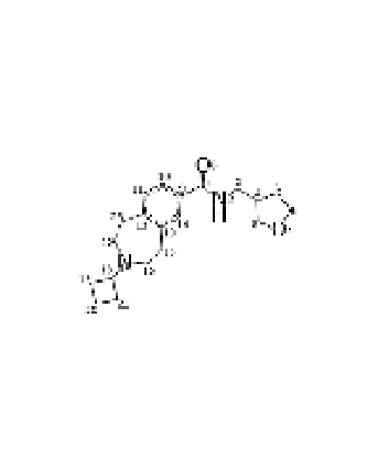 O=C(NCC1CCOC1)c1ccc2c(c1)CCN(C1CCC1)CC2